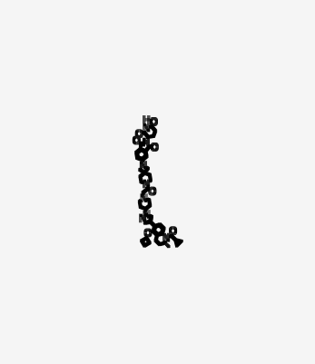 C[C@H]1CCc2c(ccc(-c3cnn(C4CCN(CC(=O)N5CCC6(CC5)CN(c5ccc7c(c5)C(=O)N(C5CCC(=O)NC5=O)C7=O)C6)CC4)c3)c2OC2CCC2)N1C(=O)C1CC1